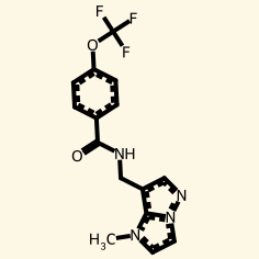 Cn1ccn2ncc(CNC(=O)c3ccc(OC(F)(F)F)cc3)c12